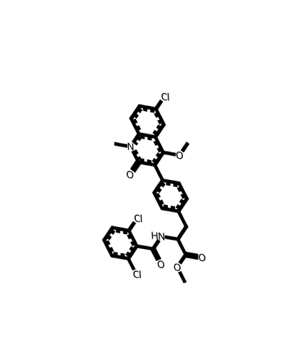 COC(=O)C(Cc1ccc(-c2c(OC)c3cc(Cl)ccc3n(C)c2=O)cc1)NC(=O)c1c(Cl)cccc1Cl